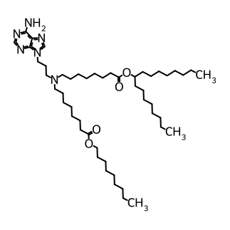 CCCCCCCCCOC(=O)CCCCCCCN(CCCCCCCC(=O)OC(CCCCCCCC)CCCCCCCC)CCCn1cnc2c(N)ncnc21